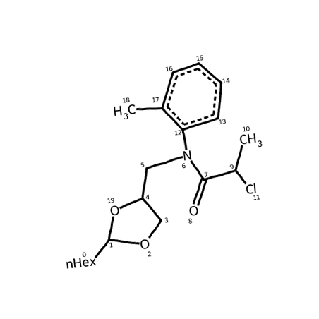 CCCCCCC1OCC(CN(C(=O)C(C)Cl)c2ccccc2C)O1